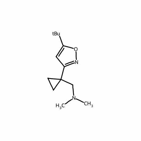 CN(C)CC1(c2cc(C(C)(C)C)on2)CC1